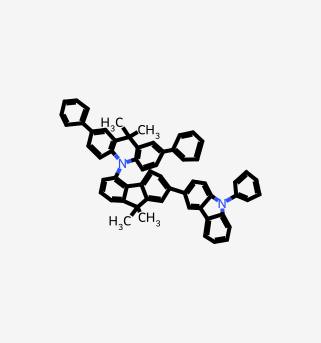 CC1(C)c2cc(-c3ccccc3)ccc2N(c2cccc3c2-c2ccc(-c4ccc5c(c4)c4ccccc4n5-c4ccccc4)cc2C3(C)C)c2ccc(-c3ccccc3)cc21